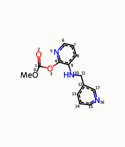 COC(=O)Oc1ncccc1NCc1cccnc1